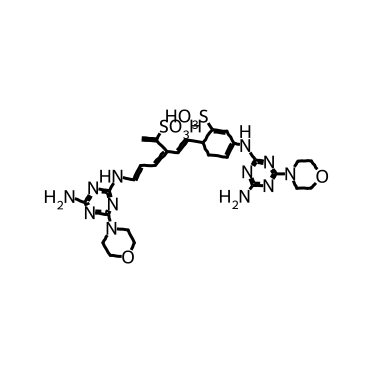 C=C(C(=C\C=C\Nc1nc(N)nc(N2CCOCC2)n1)/C=C/C1CC=C(Nc2nc(N)nc(N3CCOCC3)n2)C=C1S(=O)(=O)O)S(=O)(=O)O